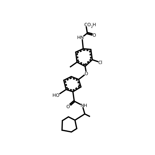 Cc1cc(NC(=O)C(=O)O)cc(Cl)c1Oc1ccc(O)c(C(=O)NC(C)C2CCCCC2)c1